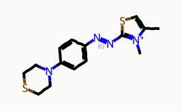 Cc1csc(/N=N/c2ccc(N3CCSCC3)cc2)[n+]1C